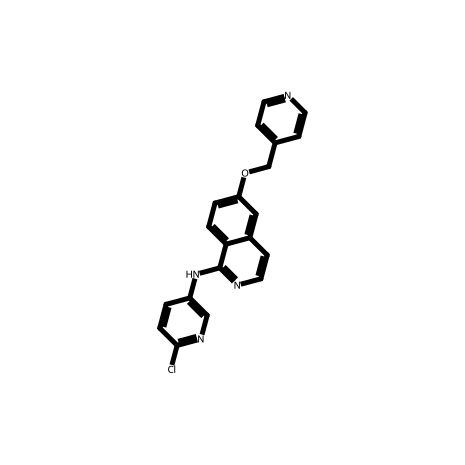 Clc1ccc(Nc2nccc3cc(OCc4ccncc4)ccc23)cn1